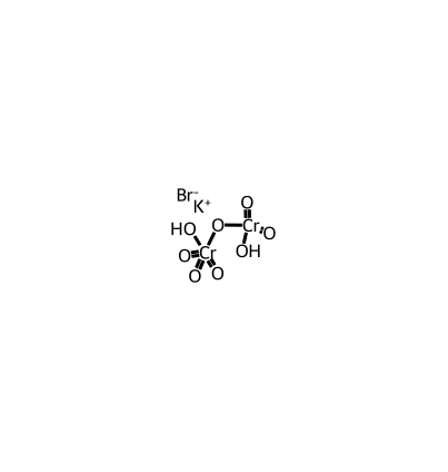 [Br-].[K+].[O]=[Cr](=[O])([OH])[O][Cr](=[O])(=[O])(=[O])[OH]